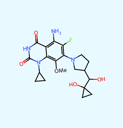 COc1c(N2CCC(C(O)C3(O)CC3)C2)c(F)c(N)c2c(=O)[nH]c(=O)n(C3CC3)c12